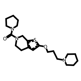 O=C(N1CCCCC1)N1CCc2cc(OCCCN3CCCCC3)sc2C1